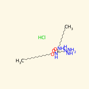 CCCCCCCCCCCCCCCCOC(=O)N[C@@H](CCCNC(=N)N)C(=O)NCCCCCCCCCCCC.Cl